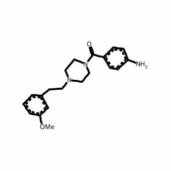 COc1cccc(CCN2CCN(C(=O)c3ccc(N)cc3)CC2)c1